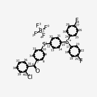 F[B-](F)(F)F.O=C(c1ccc(Sc2ccc([S+](c3ccc(F)cc3)c3ccc(F)cc3)cc2)cc1)c1ccccc1Cl